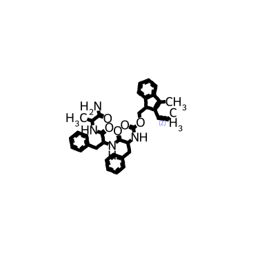 C/C=C\C1=C(C)c2ccccc2C1COC(=O)NC(Cc1ccccc1)C(=O)NC(Cc1ccccc1)C(=O)NC(C)C(N)=O